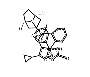 O=c1[nH]c(-c2ccc(N3[C@@H]4CC[C@H]3C[C@@H](OCc3c(-c5ccccc5C(F)(F)F)noc3C3CC3)C4)nc2)no1